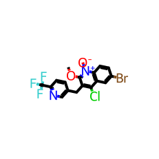 COc1c(Cc2ccc(C(F)(F)F)nc2)c(Cl)c2cc(Br)ccc2[n+]1[O-]